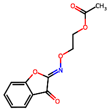 CC(=O)OCCO/N=C1\Oc2ccccc2C1=O